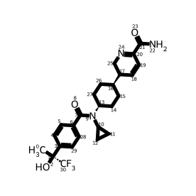 C[C@](O)(c1ccc(C(=O)N(C2CC2)[C@H]2CC[C@H](C3C=CC(C(N)=O)=NC3)CC2)cc1)C(F)(F)F